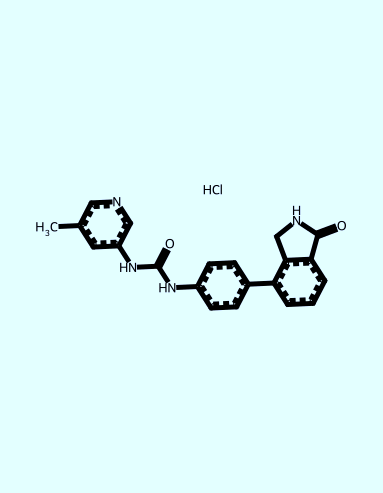 Cc1cncc(NC(=O)Nc2ccc(-c3cccc4c3CNC4=O)cc2)c1.Cl